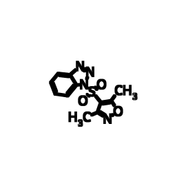 Cc1noc(C)c1S(=O)(=O)n1nnc2ccccc21